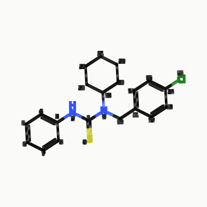 S=C(Nc1ccccc1)N(Cc1ccc(Cl)cc1)C1CCCCC1